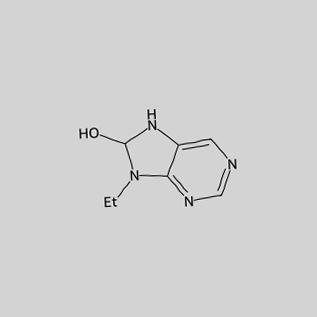 CCN1c2ncncc2NC1O